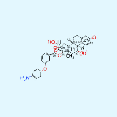 C[C@]12C=CC(=O)C=C1CC[C@@H]1[C@@H]2[C@@H](O)C[C@@]2(C)[C@H]1C[C@H]1O[C@H](c3cccc(Oc4ccc(N)cc4)c3)O[C@]12C(=O)CO